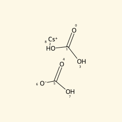 O=C(O)O.O=C([O-])O.[Cs+]